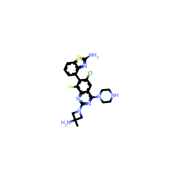 CC1(N)CN(c2nc(N3CCNCC3)c3cc(Cl)c(-c4cccc5sc(N)nc45)c(F)c3n2)C1